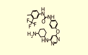 Cc1ccc(NC(=O)Nc2ccc(Oc3cc(NC4CCCC(N)C4)ncn3)cc2)cc1C(F)(F)F